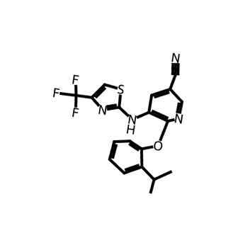 CC(C)c1ccccc1Oc1ncc(C#N)cc1Nc1nc(C(F)(F)F)cs1